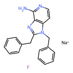 Nc1nccc2c1nc(Cc1ccccc1)n2Cc1ccccc1.[I-].[Na+]